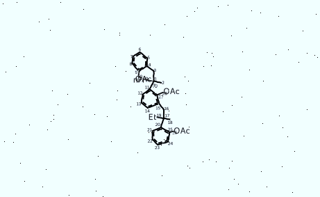 CCC[C@](C)(Cc1ccccc1OC(C)=O)c1cccc(CC(C)(CC)c2ccccc2OC(C)=O)c1OC(C)=O